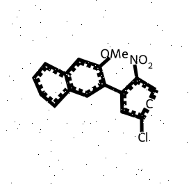 COc1cc2ccccc2cc1-c1cc(Cl)ccc1[N+](=O)[O-]